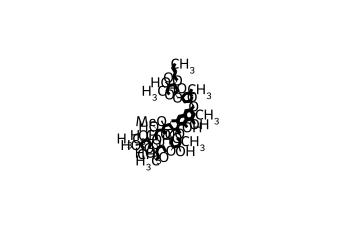 C/C=C/C(=O)O[C@@H]1C[C@H](O[C@@H]2C[C@H](Oc3cc4cc5c(c(O)c4c(O)c3C)C(=O)[C@@H](O[C@H]3C[C@@H](O[C@H]4C[C@@H](O[C@H]6C[C@](C)(O)[C@H](O)C(C)O6)[C@@H](O)C(C)O4)[C@H](O)C(C)O3)[C@H]([C@H](OC)C(=O)[C@@H](O)[C@@H](C)O)C5)OC(C)[C@H]2O)OC(C)[C@H]1O